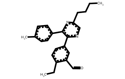 CCCCc1cnc(-c2ccc(CC)c(C=O)c2)c(-c2ccc(C)cc2)n1